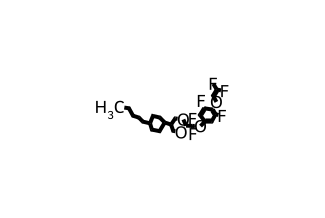 CCCCCC1CCC(C2COC(C(F)(F)Oc3cc(F)c(OC=C(F)F)c(F)c3)OC2)CC1